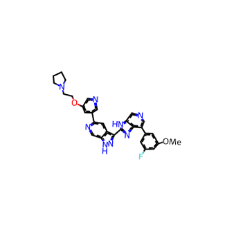 COc1cc(F)cc(-c2cncc3[nH]c(-c4n[nH]c5cnc(-c6cncc(OCCN7CCCC7)c6)cc45)nc23)c1